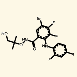 CC(C)(CO)ONC(=O)c1cc(Br)c(F)c(F)c1Nc1ccc(I)cc1F